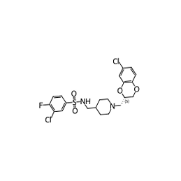 O=S(=O)(NCC1CCN(C[C@H]2COc3ccc(Cl)cc3O2)CC1)c1ccc(F)c(Cl)c1